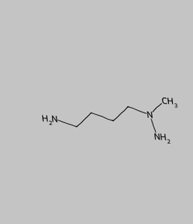 CN(N)CCCCN